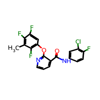 Cc1c(F)c(F)cc(Oc2ncccc2C(=O)Nc2ccc(F)c(Cl)c2)c1F